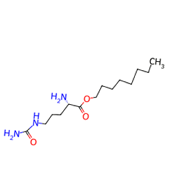 CCCCCCCCOC(=O)[C@@H](N)CCCNC(N)=O